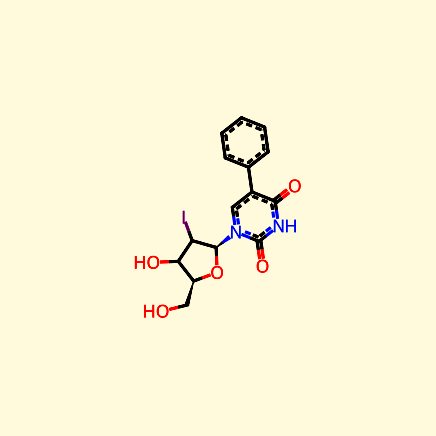 O=c1[nH]c(=O)n([C@H]2O[C@@H](CO)C(O)C2I)cc1-c1ccccc1